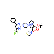 CC(C)(C)OC(=O)C1=C(C(=O)N2CCSC2)C[N@+]2(N3CCN(c4nc(-c5ccccc5)cc(C(F)(F)F)n4)CC3)C=CC=C12